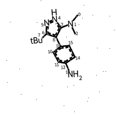 CN(C)c1[nH]nc(C(C)(C)C)c1-c1ccc(N)cc1